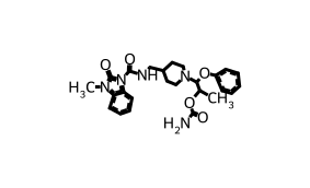 CC(OC(N)=O)C(Oc1ccccc1)N1CCC(CNC(=O)n2c(=O)n(C)c3ccccc32)CC1